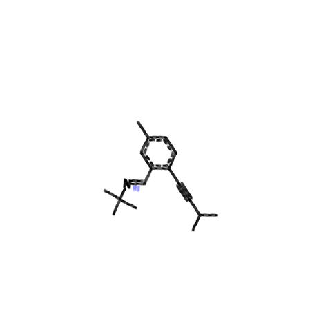 Cc1ccc(C#CC(C)C)c(/C=N/C(C)(C)C)c1